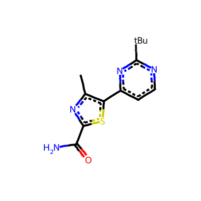 Cc1nc(C(N)=O)sc1-c1ccnc(C(C)(C)C)n1